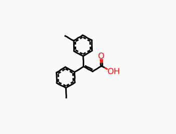 Cc1cccc(C(=CC(=O)O)c2cccc(C)c2)c1